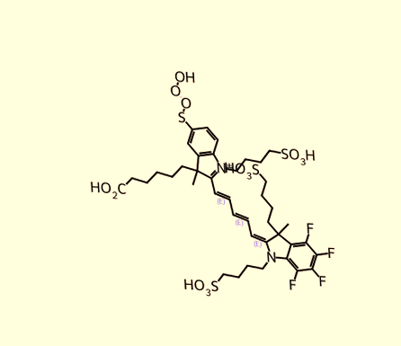 CC1(CCCCCC(=O)O)C(/C=C/C=C/C=C2/N(CCCCS(=O)(=O)O)c3c(F)c(F)c(F)c(F)c3C2(C)CCCCS(=O)(=O)O)=[N+](CCCCS(=O)(=O)O)c2ccc(SOOO)cc21